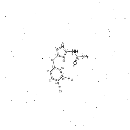 CC(C)C(=O)Nc1ncc(Cc2ccc(F)c(F)c2)s1